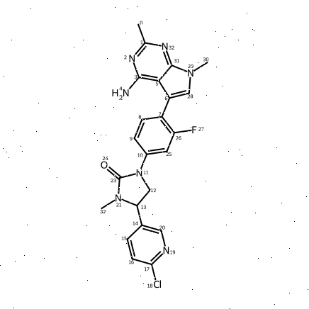 Cc1nc(N)c2c(-c3ccc(N4CC(c5ccc(Cl)nc5)N(C)C4=O)cc3F)cn(C)c2n1